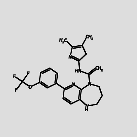 C=C(NC1=NC(C)=C(C)C1)N1CCCNc2ccc(-c3cccc(OC(F)(F)F)c3)nc21